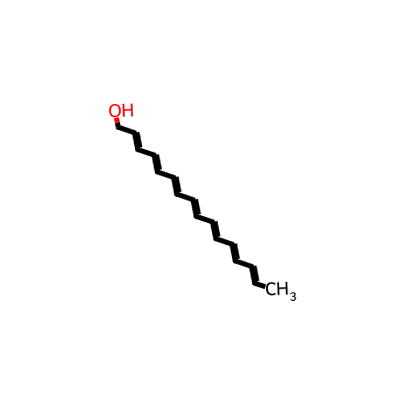 CC=CC=CC=CC=CC=CC=CC=CCO